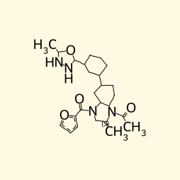 CC(=O)N1C2CCC(C3CCCC(C4NNC(C)O4)C3)CC2N(C(=O)c2ccco2)C[C@@H]1C